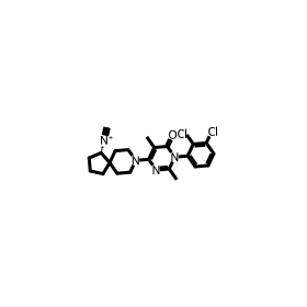 C#[N+][C@H]1CCCC12CCN(c1nc(C)n(-c3cccc(Cl)c3Cl)c(=O)c1C)CC2